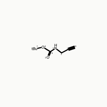 [C]#CCNC(=O)OC(C)(C)C